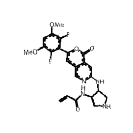 C=CC(=O)NC1CNCC1Nc1cc2c(=O)oc(-c3c(F)c(OC)cc(OC)c3F)cc2cn1